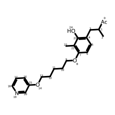 CC(=O)C(C)Cc1ccc(OCCCCCOc2cccnc2)c(C)c1O